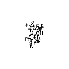 N#Cc1c(F)cc(N2C[C@@H]3CC3[C@@H]2[C@@H](O)C(F)(F)F)cc1C(F)(F)F